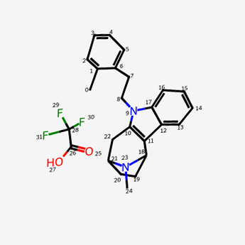 Cc1ccccc1CCn1c2c(c3ccccc31)C1CCC(C2)N1C.O=C(O)C(F)(F)F